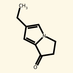 CCc1cc2n(c1)CCC2=O